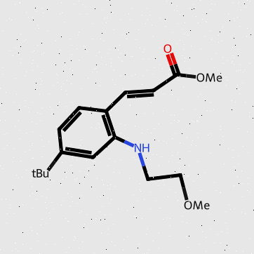 COCCNc1cc(C(C)(C)C)ccc1/C=C/C(=O)OC